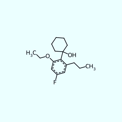 CCCc1cc(F)cc(OCC)c1C1(O)CCCCC1